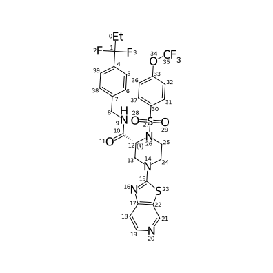 CCC(F)(F)c1ccc(CNC(=O)[C@H]2CN(c3nc4ccncc4s3)CCN2S(=O)(=O)c2ccc(OC(F)(F)F)cc2)cc1